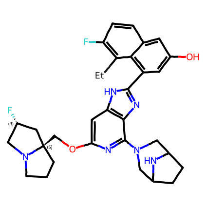 CCc1c(F)ccc2cc(O)cc(-c3nc4c(N5CC6CCC(C5)N6)nc(OC[C@@]56CCCN5C[C@H](F)C6)cc4[nH]3)c12